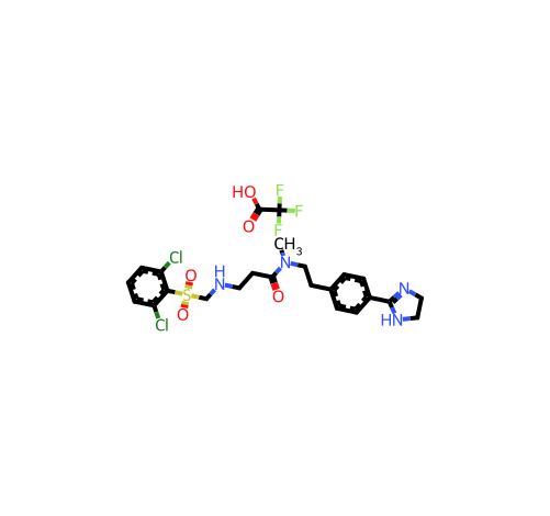 CN(CCc1ccc(C2=NCCN2)cc1)C(=O)CCNCS(=O)(=O)c1c(Cl)cccc1Cl.O=C(O)C(F)(F)F